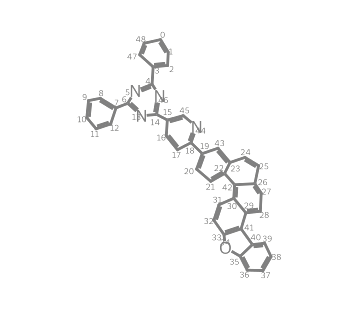 c1ccc(-c2nc(-c3ccccc3)nc(-c3ccc(-c4ccc5c(ccc6ccc7c(ccc8oc9ccccc9c87)c65)c4)nc3)n2)cc1